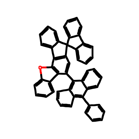 c1ccc(-c2c3ccccc3c(-c3cc4c(c5oc6ccccc6c35)-c3ccccc3C43c4ccccc4-c4ccccc43)c3ccccc23)cc1